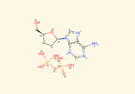 Nc1ncnc2c1ncn2[C@H]1CC[C@@H](CO)O1.O=P(O)(O)OP(=O)(O)O